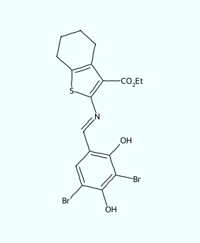 CCOC(=O)c1c(N=Cc2cc(Br)c(O)c(Br)c2O)sc2c1CCCC2